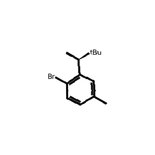 Cc1ccc(Br)c([C@@H](C)C(C)(C)C)c1